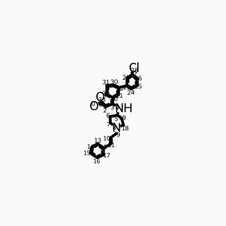 O=c1cc(NC2CCN(CC=Cc3ccccc3)CC2)c2cc(-c3cccc(Cl)c3)ccc2o1